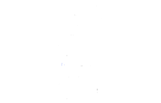 CCCCOC(=O)[C@H](CC(=O)O)NS(=O)(=O)c1ccc2ccccc2c1